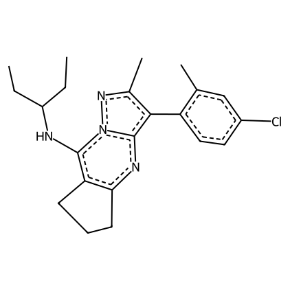 CCC(CC)Nc1c2c(nc3c(-c4ccc(Cl)cc4C)c(C)nn13)CCC2